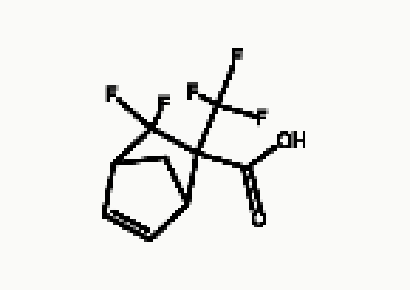 O=C(O)C1(C(F)(F)F)C2C=CC(C2)C1(F)F